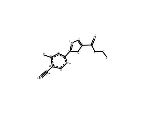 CCCC(=O)C1=CN=C(c2cc(C)c(C#N)cn2)C1